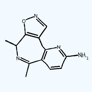 CC1=NC(C)c2oncc2-c2nc(N)ccc21